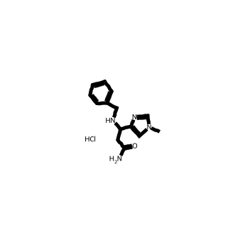 Cl.Cn1cnc(C(CC(N)=O)NCc2ccccc2)c1